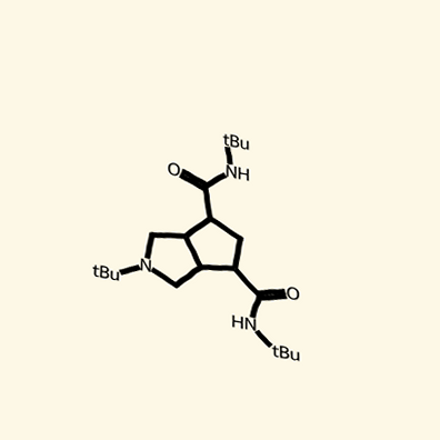 CC(C)(C)NC(=O)C1CC(C(=O)NC(C)(C)C)C2CN(C(C)(C)C)CC12